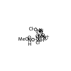 COC(=O)Nc1ccc(-c2nc([C@H](CC(=O)N3CCCC(C)(C)C3)NC(=O)C=Cc3cc(Cl)ccc3-n3cnnn3)[nH]c2Cl)cc1